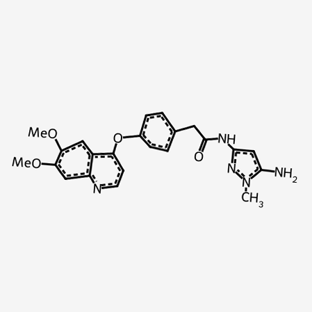 COc1cc2nccc(Oc3ccc(CC(=O)Nc4cc(N)n(C)n4)cc3)c2cc1OC